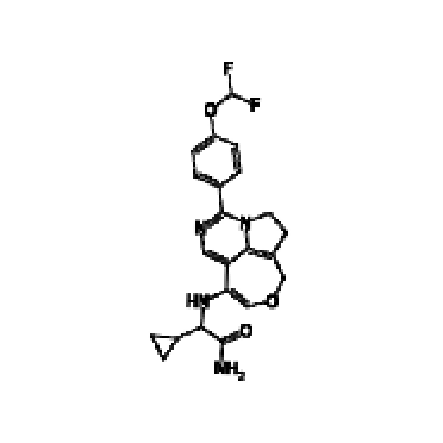 NC(=O)C(NC1=COCC2=C3C1=CN=C(c1ccc(OC(F)F)cc1)N3CC2)C1CC1